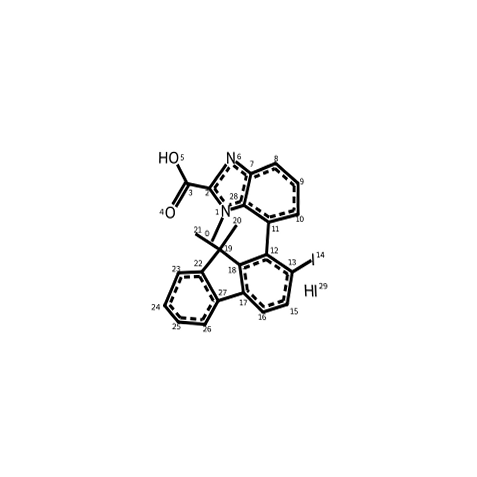 Cn1c(C(=O)O)nc2cccc(-c3c(I)ccc4c3C(C)(C)c3ccccc3-4)c21.I